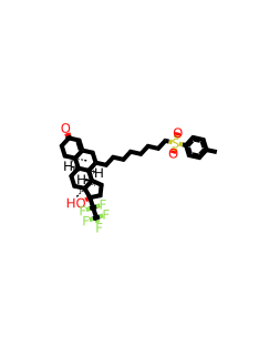 Cc1ccc(S(=O)(=O)CCCCCCCCC2CC3=CC(=O)CC[C@]3(C)[C@@H]3CC[C@@]4(C)[C@@H](CCC4(O)C(F)(F)C(F)(F)F)[C@H]23)cc1